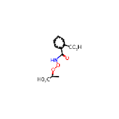 CC(OONC(=O)c1ccccc1C(=O)O)C(=O)O